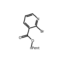 CCCCCOC(=O)c1cccnc1Br